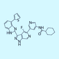 O=C(Nc1cncc(-c2ncc3[nH]nc(-c4nc5c(-c6cccs6)cccc5[nH]4)c3c2F)c1)C1CCCCC1